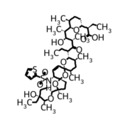 CCC(C(=O)[C@@H](C)[C@@H](O)[C@H](C)[C@@H]1O[C@@H]([C@@H](CC)C(=O)O)CC[C@@H]1C)[C@H]1O[C@]2(C=C[C@@H](NS(=O)(=O)c3cccs3)[C@]3(CC[C@@](C)([C@H]4CC[C@](O)(CC)[C@H](C)O4)O3)O2)[C@H](C)C[C@@H]1C